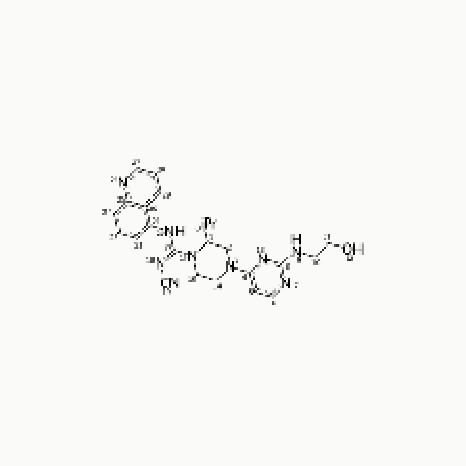 CC(C)C1CN(c2ccnc(NCCO)n2)CCN1/C(=N\C#N)Nc1cccc2ncccc12